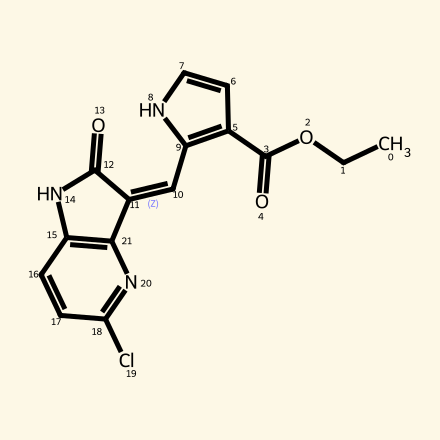 CCOC(=O)c1cc[nH]c1/C=C1\C(=O)Nc2ccc(Cl)nc21